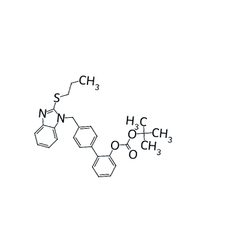 CCCSc1nc2ccccc2n1Cc1ccc(-c2ccccc2OC(=O)OC(C)(C)C)cc1